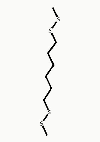 CSSCCCCCCSSC